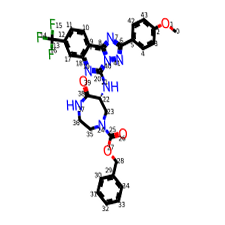 COc1ccc(-c2nc3c4ccc(C(F)(F)F)cc4nc(N[C@@H]4CN(C(=O)OCc5ccccc5)CCNC4=O)n3n2)cc1